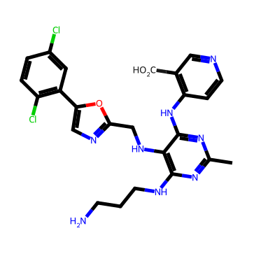 Cc1nc(NCCCN)c(NCc2ncc(-c3cc(Cl)ccc3Cl)o2)c(Nc2ccncc2C(=O)O)n1